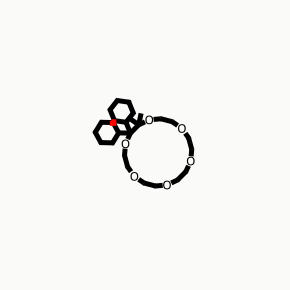 CC1(C)OCCOCCOCCOCCOCCOC1(C1CCCCC1)C1CCCCC1